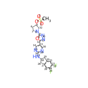 CS(=O)(=O)OC1CCN(c2nnc(-c3cnc(NC4Cc5cc(F)c(F)cc5C4)nc3)o2)C1